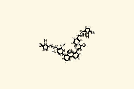 COc1nc(-c2cccc(-c3cccc(-c4cc(=O)n5cc(CNCC6CCC(=O)N6)ccc5n4)c3Cl)c2Cl)ccc1CNCC1CCC(=O)N1